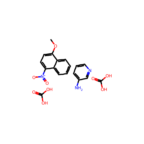 COc1ccc([N+](=O)[O-])c2ccccc12.Nc1cccnc1.O=C(O)O.O=C(O)O